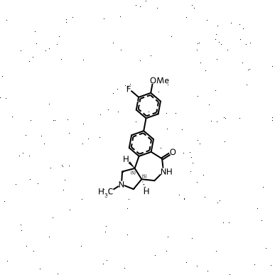 COc1ccc(-c2ccc3c(c2)C(=O)NC[C@H]2CN(C)C[C@H]32)cc1F